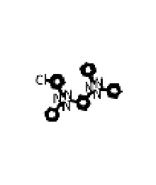 Clc1cccc(-c2nc(-c3ccccc3)nc(-c3cccc(-c4nc(-c5ccccc5)nc(-c5ccccc5)n4)c3)n2)c1